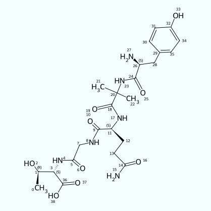 C[C@@H](O)[C@H](NC(=O)CNC(=O)[C@H](CCC(N)=O)NC(=O)C(C)(C)NC(=O)[C@@H](N)Cc1ccc(O)cc1)C(=O)O